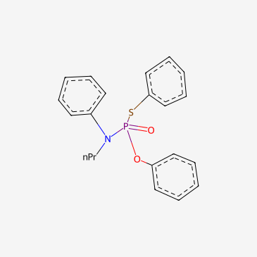 CCCN(c1ccccc1)P(=O)(Oc1ccccc1)Sc1ccccc1